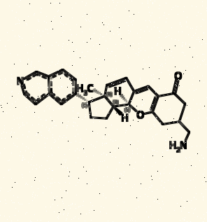 C[C@]12C=CC3=CC4=C(CC(CN)CC4=O)O[C@H]3[C@@H]1CC[C@@H]2c1ccc2cnccc2c1